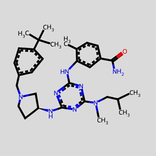 Cc1ccc(C(N)=O)cc1Nc1nc(N[C@H]2CCN(Cc3ccc(C(C)(C)C)cc3)C2)nc(N(C)CC(C)C)n1